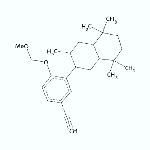 C#Cc1ccc(OCOC)c(C2CC3C(CC2C)C(C)(C)CCC3(C)C)c1